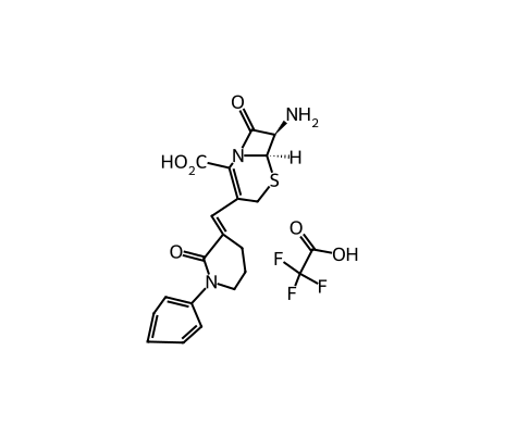 N[C@@H]1C(=O)N2C(C(=O)O)=C(/C=C3\CCCN(c4ccccc4)C3=O)CS[C@H]12.O=C(O)C(F)(F)F